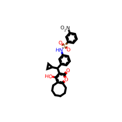 O=c1oc2c(c(O)c1C(c1cccc(NS(=O)(=O)c3cccc([N+](=O)[O-])c3)c1)C1CC1)CCCCCC2